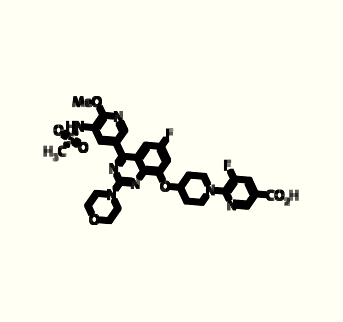 COc1ncc(-c2nc(N3CCOCC3)nc3c(OC4CCN(c5ncc(C(=O)O)cc5F)CC4)cc(F)cc23)cc1NS(C)(=O)=O